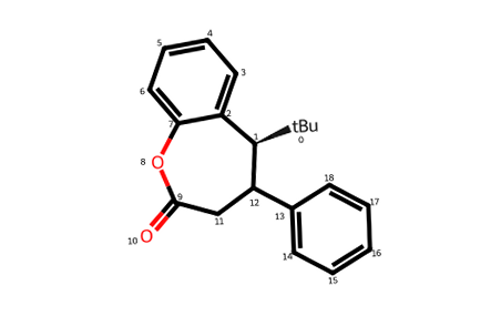 CC(C)(C)[C@@H]1c2ccccc2OC(=O)CC1c1ccccc1